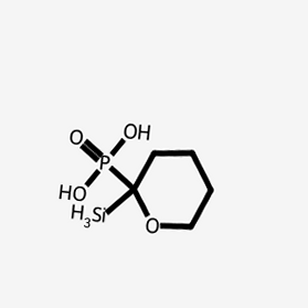 O=P(O)(O)C1([SiH3])CCCCO1